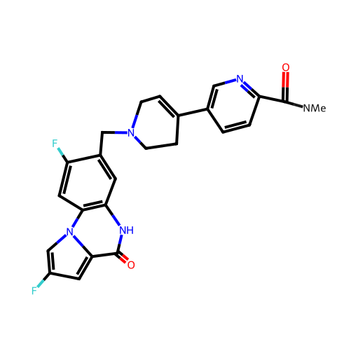 CNC(=O)c1ccc(C2=CCN(Cc3cc4[nH]c(=O)c5cc(F)cn5c4cc3F)CC2)cn1